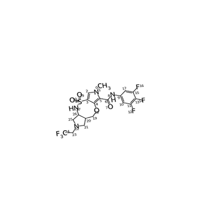 Cn1cc2c(c1C(=O)Nc1cc(F)c(F)c(F)c1)OCC1CN(CC(F)(F)F)CC1NS2(=O)=O